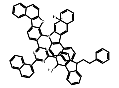 CC1C2=C(C=CC1c1nc(-c3ccc4c(oc5ccc6ccccc6c54)c3-n3c4c(c5c6ccccc6ccc53)=CC3C=CC=C[C@H]3C=4)nc(-c3cccc4ccccc34)n1)C(CCc1ccccc1)c1ccccc12